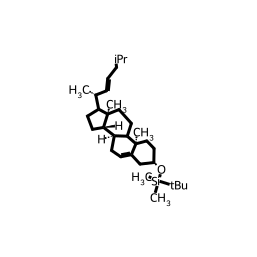 CC(C)C/C=C/[C@@H](C)C1CC[C@H]2[C@@H]3CC=C4C[C@@H](O[Si](C)(C)C(C)(C)C)CC[C@]4(C)C3CC[C@]12C